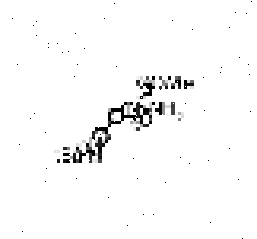 COC(=O)CC[C@@H](C(N)=O)N1Cc2ccc(C3=CCN(C(=O)OC(C)(C)C)CC3)cc2C1=O